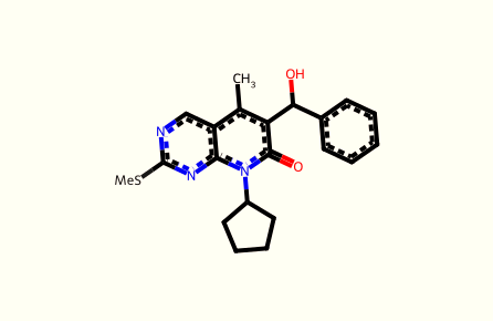 CSc1ncc2c(C)c(C(O)c3ccccc3)c(=O)n(C3CCCC3)c2n1